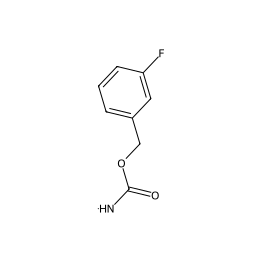 [NH]C(=O)OCc1cccc(F)c1